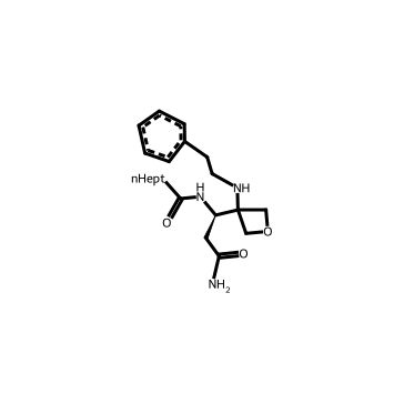 CCCCCCCC(=O)N[C@H](CC(N)=O)C1(NCCc2ccccc2)COC1